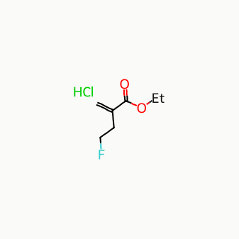 C=C(CCF)C(=O)OCC.Cl